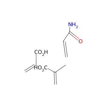 C=C(C)C(=O)O.C=CC(=O)O.C=CC(N)=O